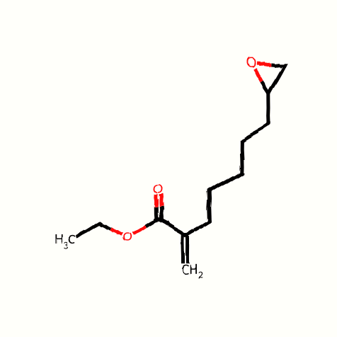 C=C(CCCCCC1CO1)C(=O)OCC